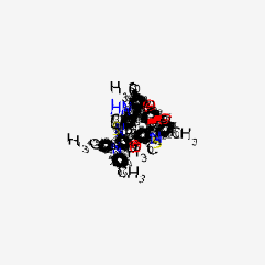 CSN1c2cc3c(cc2B2c4ccccc4Oc4cc(C)cc1c42)B1c2cc4c(cc2N(SC)c2cc(N(c5ccc(C)cc5)c5ccc(C)cc5)cc(c21)O3)Nc1cc(C)cc2c1B4c1ccccc1O2